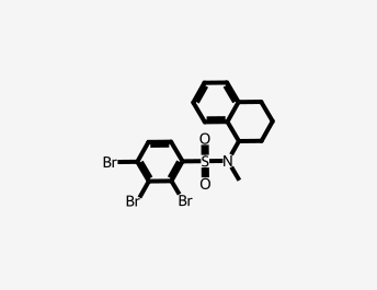 CN(C1CCCc2ccccc21)S(=O)(=O)c1ccc(Br)c(Br)c1Br